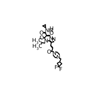 CC(C)Cn1c(=O)c(C(=O)NC2CC2)c(O)n2ncc(C=CC(=O)N3CCN(CC4CC(F)(F)C4)CC3)c12